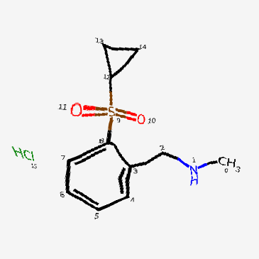 CNCc1ccccc1S(=O)(=O)C1CC1.Cl